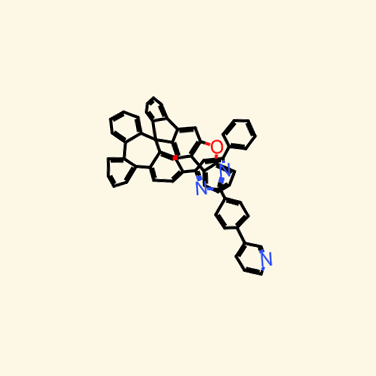 c1ccc(-c2cc(-c3ccc4c(c3)C3(c5ccccc5-c5ccccc5-4)c4ccccc4-c4cc5oc6ccccc6c5cc43)nc(-c3ccc(-c4cccnc4)cc3)n2)cc1